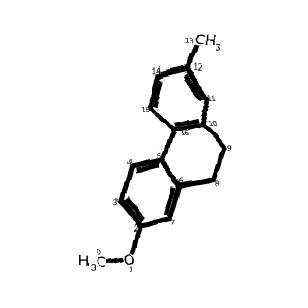 COc1ccc2c(c1)CCc1cc(C)ccc1-2